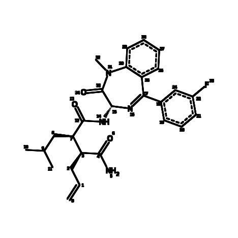 C=CC[C@H](C(N)=O)[C@@H](CC(C)C)C(=O)N[C@H]1N=C(c2cccc(F)c2)c2ccccc2N(C)C1=O